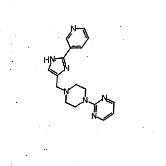 c1cnc(N2CCN(Cc3c[nH]c(-c4cccnc4)n3)CC2)nc1